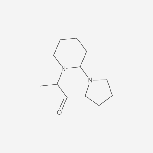 CC([C]=O)N1CCCCC1N1CCCC1